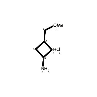 COC[C@H]1C[C@@H](N)C1.Cl